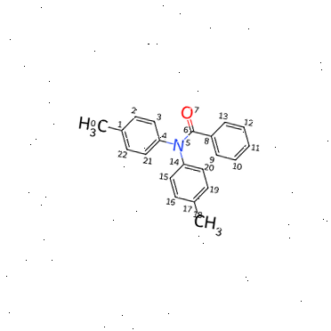 Cc1ccc(N(C(=O)c2ccccc2)c2ccc(C)cc2)cc1